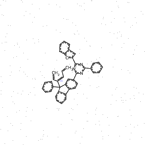 C=C/C=C(\C=C)C1(c2ccccc2)c2ccccc2-c2ccc(-c3nc(-c4ccccc4)nc(-c4cc5ccccc5o4)n3)cc21